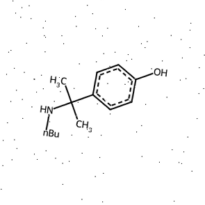 CCCCNC(C)(C)c1ccc(O)cc1